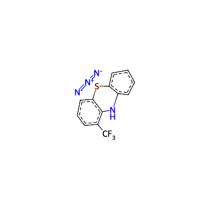 FC(F)(F)c1cccc2c1Nc1ccccc1S2.[N-]=[N+]=[N-]